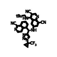 CC(C)(C)CNc1c(C#N)cnc2c(C#N)cc(N[C@H](c3cn(C4(C(F)(F)F)CC4)nn3)c3cccc4c(C#N)nccc34)cc12